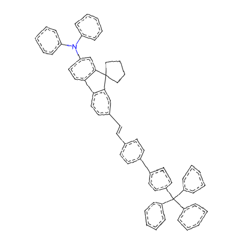 C(=C\c1ccc2c(c1)C1(CCCC1)c1cc(N(c3ccccc3)c3ccccc3)ccc1-2)/c1ccc(-c2ccc(C(c3ccccc3)(c3ccccc3)c3ccccc3)cc2)cc1